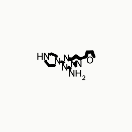 Nc1nc(N2CCCNCC2)nc2cc(-c3ccco3)nn12